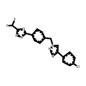 FC(F)c1nnc(-c2ccc(Cn3cc(-c4ccc(Cl)cc4)nn3)cc2)o1